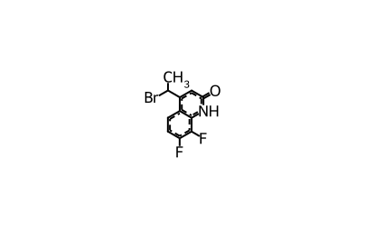 CC(Br)c1cc(=O)[nH]c2c(F)c(F)ccc12